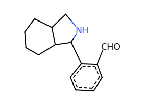 O=Cc1ccccc1C1NCC2CCCCC21